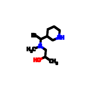 CCC(C1CCCNC1)N(C)CC(C)O